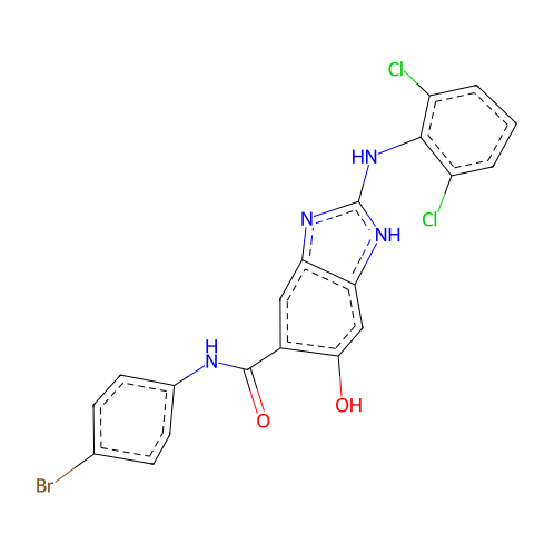 O=C(Nc1ccc(Br)cc1)c1cc2nc(Nc3c(Cl)cccc3Cl)[nH]c2cc1O